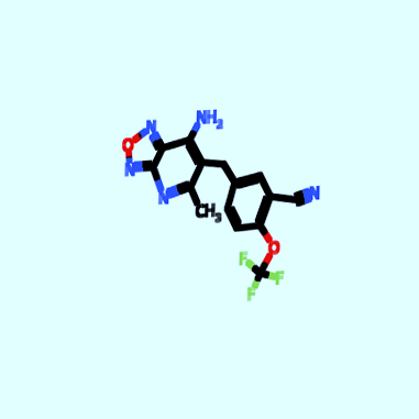 Cc1nc2nonc2c(N)c1Cc1ccc(OC(F)(F)F)c(C#N)c1